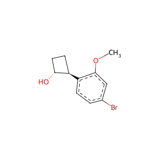 COc1cc(Br)ccc1[C@@H]1CC[C@H]1O